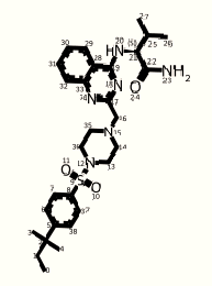 CCC(C)(C)c1ccc(S(=O)(=O)N2CCN(Cc3nc(N[C@H](C(N)=O)C(C)C)c4ccccc4n3)CC2)cc1